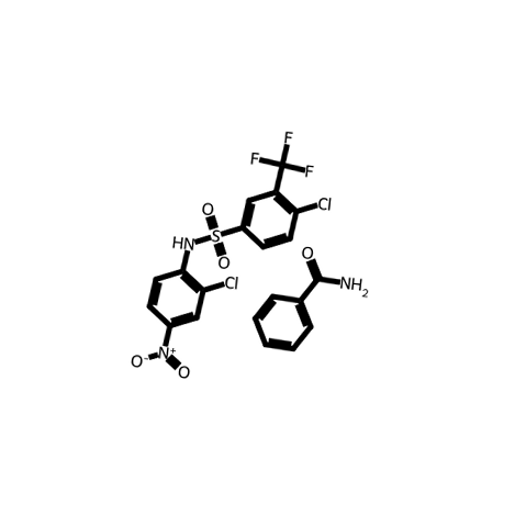 NC(=O)c1ccccc1.O=[N+]([O-])c1ccc(NS(=O)(=O)c2ccc(Cl)c(C(F)(F)F)c2)c(Cl)c1